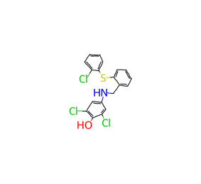 Oc1c(Cl)cc(NCc2ccccc2Sc2ccccc2Cl)cc1Cl